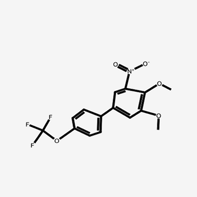 COc1cc(-c2ccc(OC(F)(F)F)cc2)cc([N+](=O)[O-])c1OC